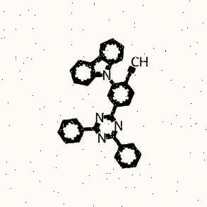 C#Cc1ccc(-c2nc(-c3ccccc3)nc(-c3ccccc3)n2)cc1-n1c2ccccc2c2ccccc21